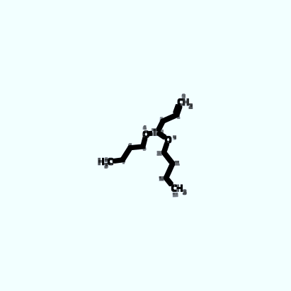 C=C[CH2][Ti]([O]CCCC)[O]CCCC